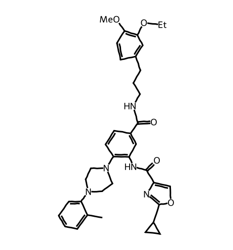 CCOc1cc(CCCNC(=O)c2ccc(N3CCN(c4ccccc4C)CC3)c(NC(=O)c3coc(C4CC4)n3)c2)ccc1OC